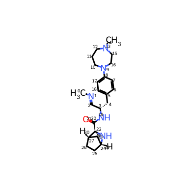 C/N=C/[C@H](Cc1ccc(N2CCCN(C)CC2)cc1)NC(=O)[C@H]1N[C@@H]2CC[C@H]1C2